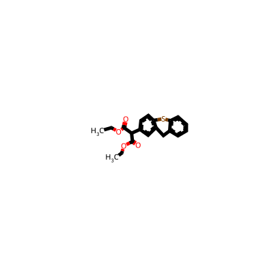 CCOC(=O)C(C(=O)OCC)c1ccc2c(c1)Cc1ccccc1S2